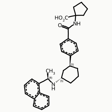 C[C@@H](N[C@H]1CCC[C@H](c2ccc(C(=O)NC3(C(=O)O)CCCC3)cc2)C1)c1cccc2ccccc12